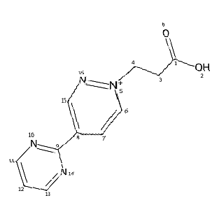 O=C(O)CC[n+]1ccc(-c2ncccn2)cn1